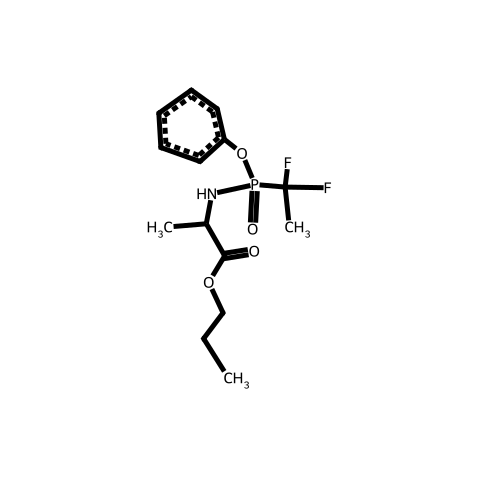 CCCOC(=O)C(C)NP(=O)(Oc1ccccc1)C(C)(F)F